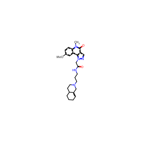 COc1ccc2c(c1)c1c(cnn1CC(=O)NCCCN1CCC3CCCC=C3C1)c(=O)n2C